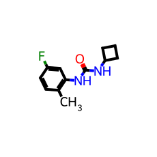 Cc1ccc(F)cc1NC(=O)NC1CCC1